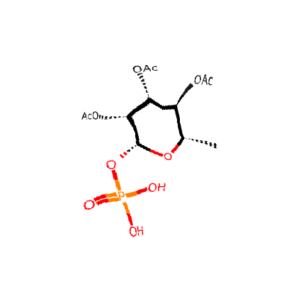 CC(=O)O[C@@H]1[C@@H](OC(C)=O)[C@H](C)O[C@H](OP(=O)(O)O)[C@@H]1OC(C)=O